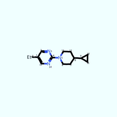 CCc1cnc(N2CCC([C]3CC3)CC2)nc1